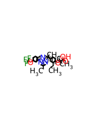 CCCc1cc(C(C)(C)CN(Cc2ccc(OC(F)(F)F)cc2)c2ncc(CC)cn2)ccc1OC(C)(C)C(=O)O